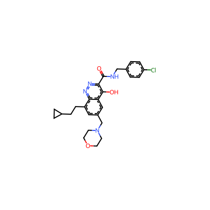 O=C(NCc1ccc(Cl)cc1)c1nnc2c(CCC3CC3)cc(CN3CCOCC3)cc2c1O